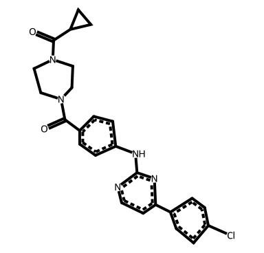 O=C(c1ccc(Nc2nccc(-c3ccc(Cl)cc3)n2)cc1)N1CCN(C(=O)C2CC2)CC1